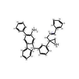 Nc1cc2c(cc1-c1ccccc1)c1ccccc1n2-c1cccc(C2(C/N=C/c3ccccc3)CN2)c1